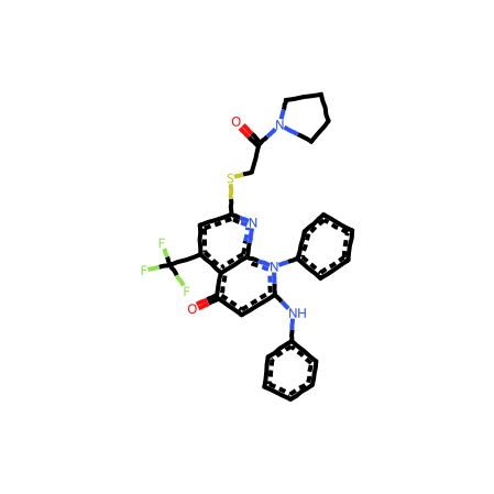 O=C(CSc1cc(C(F)(F)F)c2c(=O)cc(Nc3ccccc3)n(-c3ccccc3)c2n1)N1CCCC1